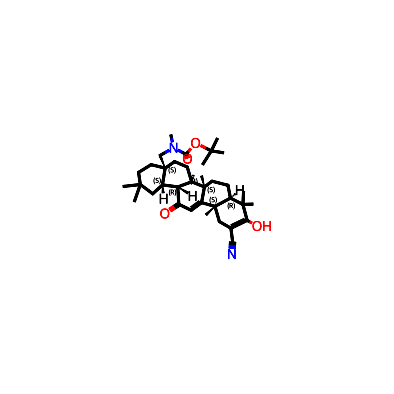 CN(C[C@]12CCC(C)(C)C[C@H]1[C@H]1C(=O)C=C3[C@@]4(C)CC(C#N)=C(O)C(C)(C)[C@@H]4CC[C@@]3(C)[C@]1(C)CC2)C(=O)OC(C)(C)C